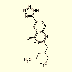 CCCC(CC)Cc1nc2ccc(-c3nnn[nH]3)cc2c(=O)[nH]1